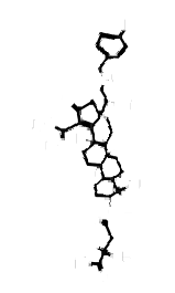 CC(C)C1=C2[C@H]3CC[C@@H]4[C@@]5(C)CC[C@H](OC(=O)CC(C)(C)C(=O)O)C(C)(C)[C@@H]5CC[C@@]4(C)[C@]3(C)CC[C@@]2([C@@H](O)CNCc2ccc(F)cc2)CC1=O